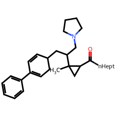 CCCCCCCC(=O)C1CC1(C)C(CC1C=CC(c2ccccc2)=CC1)CN1CCCC1